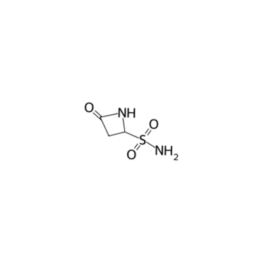 NS(=O)(=O)C1CC(=O)N1